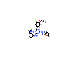 CCC(Nc1nc(NCc2ccco2)nc(Nc2ccc(OC)c(F)c2)n1)C1CCCN1